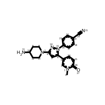 Cn1cc(-c2cc(N3CCC(N)CC3)nn2-c2ccc(C#N)cc2)ccc1=O